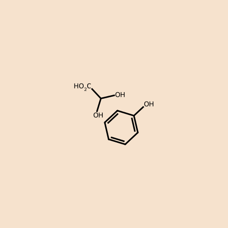 O=C(O)C(O)O.Oc1ccccc1